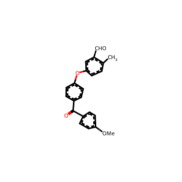 COc1ccc(C(=O)c2ccc(Oc3ccc(C)c(C=O)c3)cc2)cc1